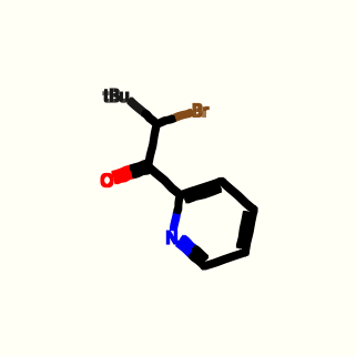 CC(C)(C)C(Br)C(=O)c1ccccn1